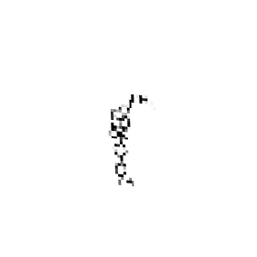 C/C=C/Oc1ccc(OC(=O)C2CCC(C3CCC(CCC)CC3)CC2)c(F)c1F